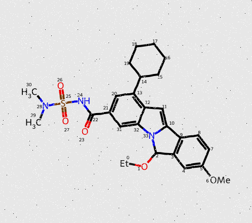 CCOC1c2cc(OC)ccc2-c2cc3c(C4CCCCC4)cc(C(=O)NS(=O)(=O)N(C)C)cc3n21